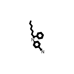 CCCCCCC(=Nc1ccc(C#N)cc1)c1ccccc1